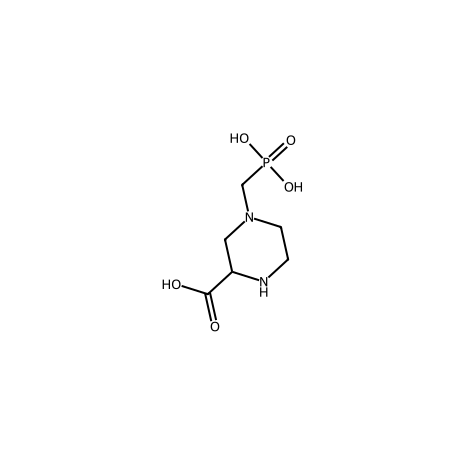 O=C(O)C1CN(CP(=O)(O)O)CCN1